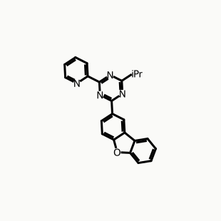 CC(C)c1nc(-c2ccc3oc4ccccc4c3c2)nc(-c2ccccn2)n1